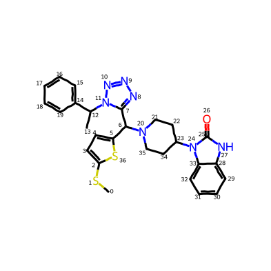 CSc1ccc(C(c2nnnn2C(C)c2ccccc2)N2CCC(n3c(=O)[nH]c4ccccc43)CC2)s1